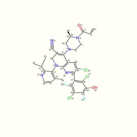 C=CC(=O)N1CCN(C2=C(C#N)CN(c3c(C)ccnc3C(C)C)c3nc(-c4c(F)c(Cl)c(F)c(O)c4Cl)c(Cl)cc32)C[C@H]1C